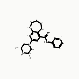 C[C@@H]1CN(c2cc(C(=O)Nc3cccnc3)c3c(n2)OCCCC3)C[C@H](C)O1